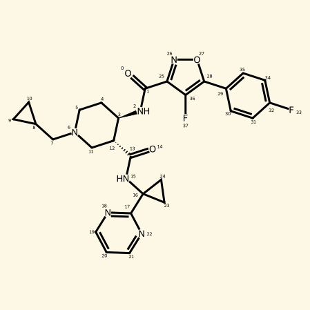 O=C(N[C@@H]1CCN(CC2CC2)C[C@H]1C(=O)NC1(c2ncccn2)CC1)c1noc(-c2ccc(F)cc2)c1F